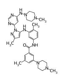 Cc1cc(C(=O)Nc2ccc(C)c(Nc3cc(C)nn3-c3cc(NN4CCN(C)CC4)ncn3)c2)cc(N2CCN(C)CC2)c1